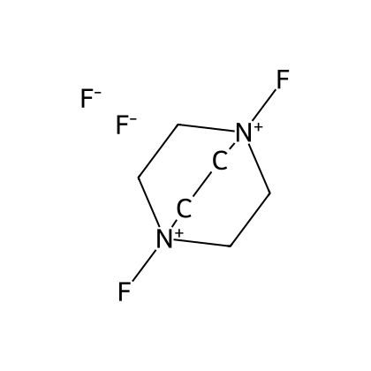 F[N+]12CC[N+](F)(CC1)CC2.[F-].[F-]